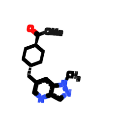 COC(=O)[C@H]1CC[C@H](Cc2cnc3cnn(C)c3c2)CC1